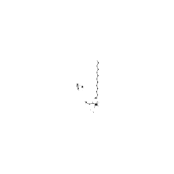 CCCCCCCCCCCCC(=S)SC(C)(C#N)CCC(=O)O.COC.OCCO